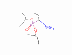 CCC(N)P(=O)(OC(C)C)OC(C)C